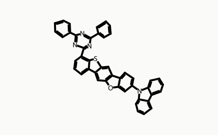 c1ccc(-c2nc(-c3ccccc3)nc(-c3cccc4c3sc3cc5c(cc34)oc3cc(-n4c6ccccc6c6ccccc64)ccc35)n2)cc1